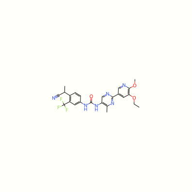 CCOc1cc(-c2ncc(NC(=O)Nc3ccc(C(C)C#N)c(C(F)(F)F)c3)c(C)n2)cnc1OC